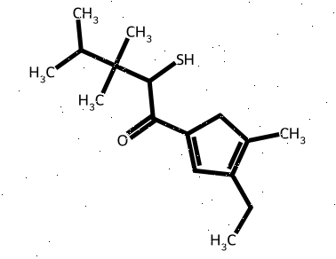 CCC1=C(C)CC(C(=O)C(S)C(C)(C)C(C)C)=C1